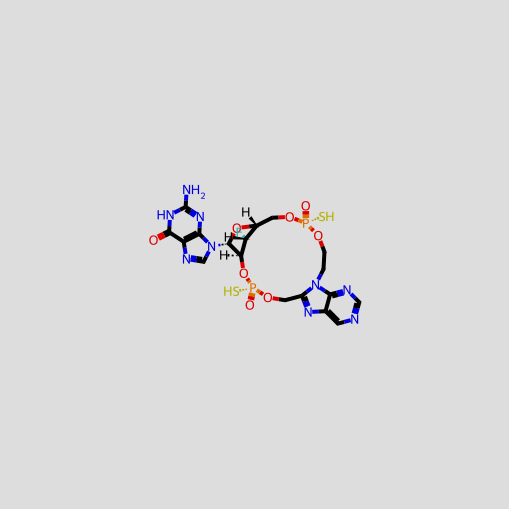 Nc1nc2c(ncn2[C@@H]2O[C@@H]3CO[P@](=O)(S)OCCn4c(nc5cncnc54)CO[P@](=O)(S)O[C@@H]2[C@@H]3F)c(=O)[nH]1